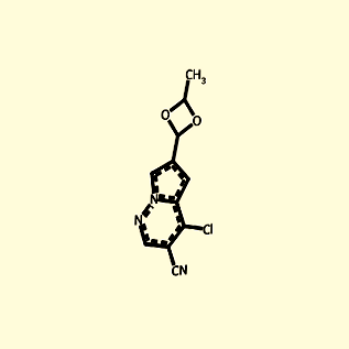 CC1OC(c2cc3c(Cl)c(C#N)cnn3c2)O1